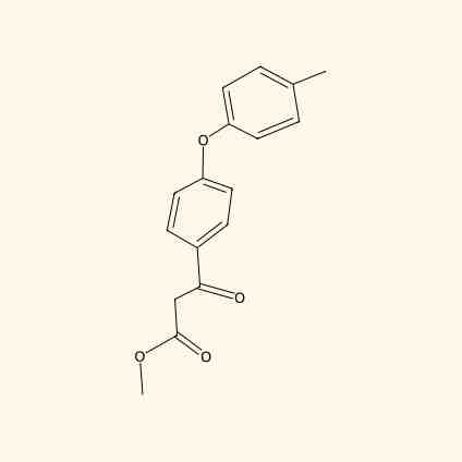 COC(=O)CC(=O)c1ccc(Oc2ccc(C)cc2)cc1